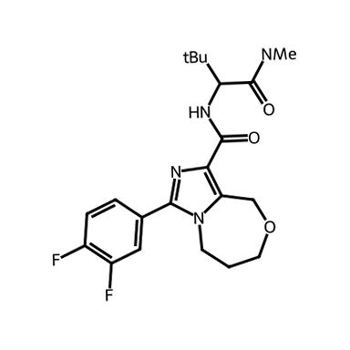 CNC(=O)C(NC(=O)c1nc(-c2ccc(F)c(F)c2)n2c1COCCC2)C(C)(C)C